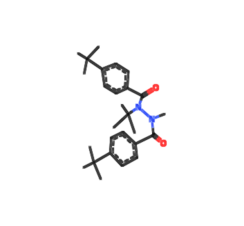 CN(C(=O)c1ccc(C(C)(C)C)cc1)N(C(=O)c1ccc(C(C)(C)C)cc1)C(C)(C)C